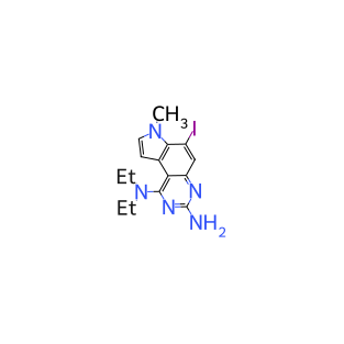 CCN(CC)c1nc(N)nc2cc(I)c3c(ccn3C)c12